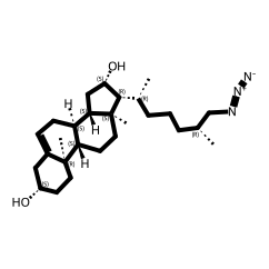 C[C@H](CCC[C@@H](C)[C@H]1[C@@H](O)C[C@H]2[C@@H]3CC=C4C[C@@H](O)CC[C@]4(C)[C@H]3CC[C@]12C)CN=[N+]=[N-]